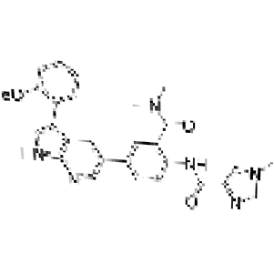 COc1ccccc1-c1c[nH]c2ncc(-c3ccc(NC(=O)c4cn(C)cn4)c(C(=O)N(C)C)c3)cc12